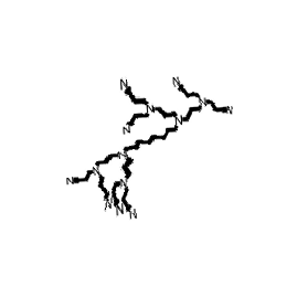 N#CCCN(CCC#N)CCCN(CCCCCCCCN(CCCN(CCC#N)CCC#N)CCCN(CCC#N)CCC#N)CCCN(CCC#N)CCC#N